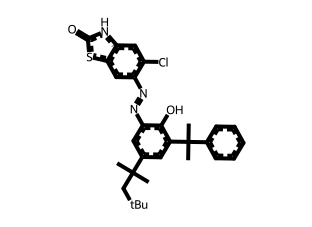 CC(C)(C)CC(C)(C)c1cc(N=Nc2cc3sc(=O)[nH]c3cc2Cl)c(O)c(C(C)(C)c2ccccc2)c1